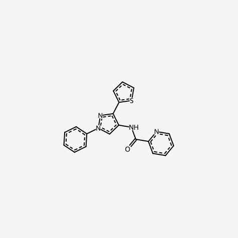 O=C(Nc1cn(-c2ccccc2)nc1-c1cccs1)c1ccccn1